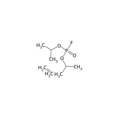 C=C.CC(C)OP(=O)(F)OC(C)C